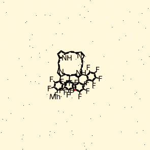 Fc1c(F)c(F)c(C2=Cc3cc4ccc(cc5nc(cc6[nH]c(c(-c7c(F)c(F)c(F)c(F)c7F)c2n3)c(-c2c(F)c(F)c(F)c(F)c2F)c6-c2c(F)c(F)c(F)c(F)c2F)C=C5)[nH]4)c(F)c1F.[Mn]